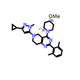 CO[C@@H]1CCN(c2nc(-c3c(C)cccc3C)nc3c2CN(c2cc(C4CC4)nn2C)CC3)[C@H](C)C1